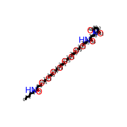 CCCCCNC(=O)CCOCCOCCOCCOCCOCCOCCOCCOCCNC(=O)CCN1C(=O)C=CC1=O